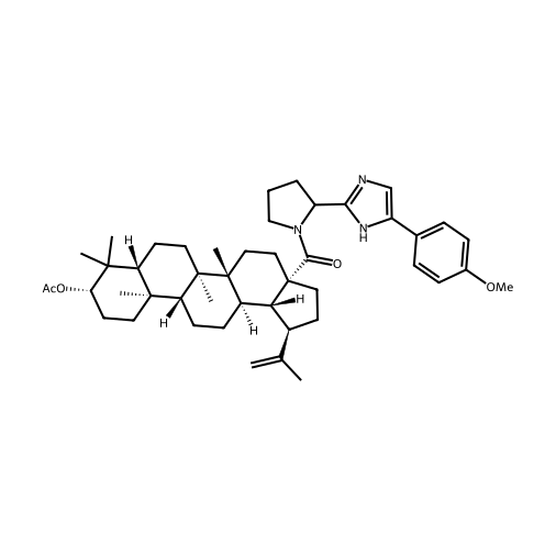 C=C(C)[C@@H]1CC[C@]2(C(=O)N3CCCC3c3ncc(-c4ccc(OC)cc4)[nH]3)CC[C@]3(C)[C@H](CC[C@@H]4[C@@]5(C)CC[C@H](OC(C)=O)C(C)(C)[C@@H]5CC[C@]43C)[C@@H]12